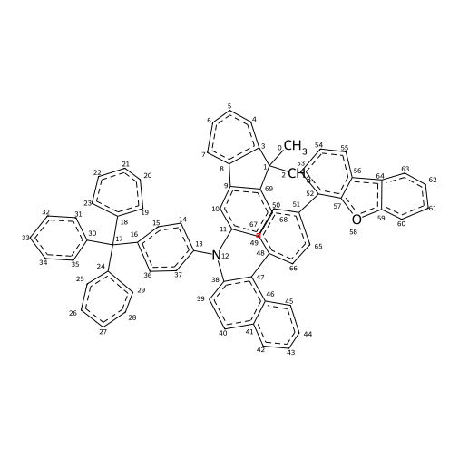 CC1(C)c2ccccc2-c2cc(N(c3ccc(C(c4ccccc4)(c4ccccc4)c4ccccc4)cc3)c3ccc4ccccc4c3-c3ccc(-c4cccc5c4oc4ccccc45)cc3)ccc21